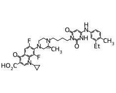 CCc1cc(Nc2cc(=O)n(CCCCN3CCN(c4c(F)cc5c(=O)c(C(=O)O)cn(C6CC6)c5c4F)C[C@@H]3C)c(=O)[nH]2)ccc1C